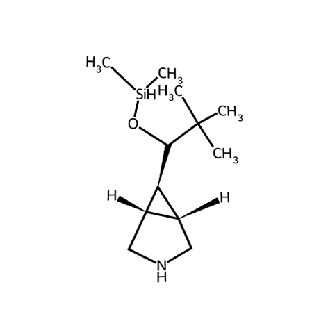 C[SiH](C)OC([C@H]1[C@@H]2CNC[C@@H]21)C(C)(C)C